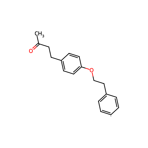 CC(=O)CCc1ccc(OCCc2cc[c]cc2)cc1